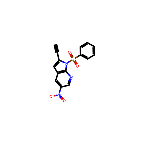 C#Cc1cc2cc([N+](=O)[O-])cnc2n1S(=O)(=O)c1ccccc1